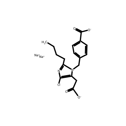 CCCCc1nc(Cl)c(CC(=O)[O-])n1Cc1ccc(C(=O)[O-])cc1.[Na+].[Na+]